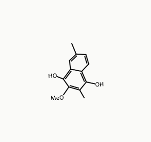 COc1c(C)c(O)c2ccc(C)cc2c1O